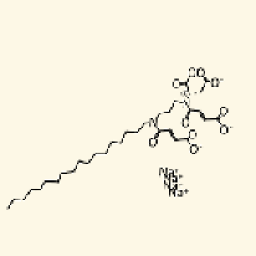 CCCCCCCCCCCCCCCCCCN(CCCN(C(=O)C=CC(=O)[O-])[C@@H](CC(=O)[O-])C(=O)[O-])C(=O)C=CC(=O)[O-].[Na+].[Na+].[Na+].[Na+]